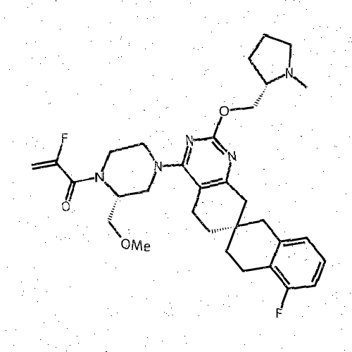 C=C(F)C(=O)N1CCN(c2nc(OC[C@@H]3CCCN3C)nc3c2CC[C@]2(CCc4c(F)cccc4C2)C3)C[C@@H]1COC